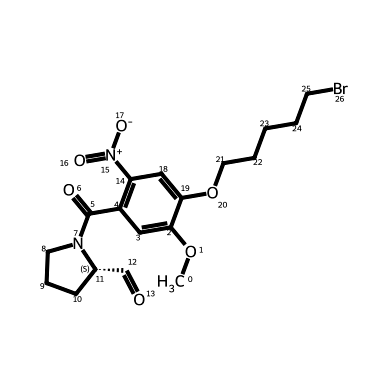 COc1cc(C(=O)N2CCC[C@H]2C=O)c([N+](=O)[O-])cc1OCCCCCBr